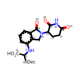 CCCCCCCCCCC(Nc1cccc2c1CN(C1CCC(=O)NC1=O)C2=O)C(=O)O